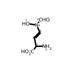 NC(/C=C/N(O)C=O)C(=O)O